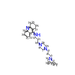 CC(C)CN(CCCN1CCN(CCCNc2c3c(nc4ccccc24)CCCC3)CC1)CC(C)C